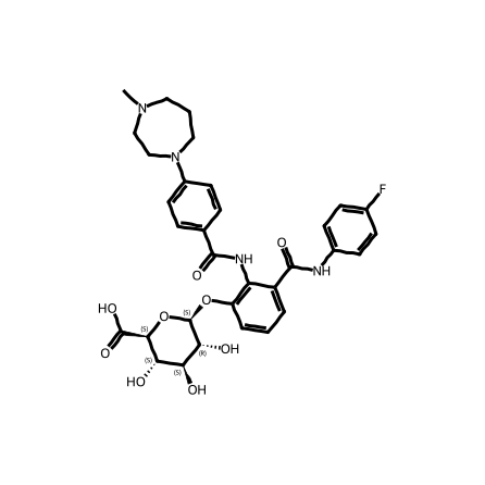 CN1CCCN(c2ccc(C(=O)Nc3c(O[C@@H]4O[C@H](C(=O)O)[C@@H](O)[C@H](O)[C@H]4O)cccc3C(=O)Nc3ccc(F)cc3)cc2)CC1